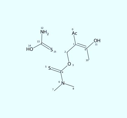 CC(=O)C(COC(=S)N(C)C)=C(C)O.NC(O)=S